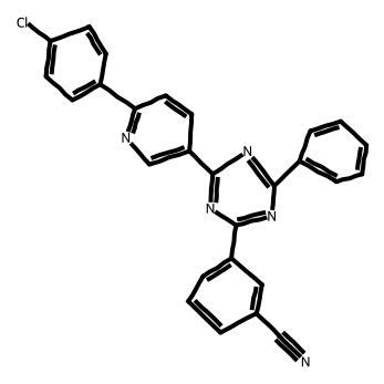 N#Cc1cccc(-c2nc(-c3ccccc3)nc(-c3ccc(-c4ccc(Cl)cc4)nc3)n2)c1